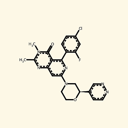 Cc1nc2cc(N3CCO[C@H](c4ccnnc4)C3)nc(-c3ccc(Cl)cc3F)c2c(=O)n1C